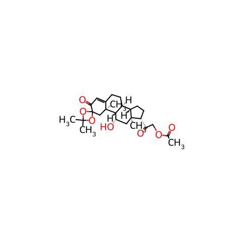 CC(=O)OCC(=O)[C@H]1CC[C@H]2[C@@H]3CCC4=CC(=O)C5(C[C@]4(C)[C@H]3[C@@H](O)C[C@]12C)OC(C)(C)O5